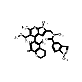 Cc1nc2c(cc(CN(C)C(=O)c3ccc4c(cnn4C)c3)n2C)c(-c2cc(F)c3c(c2C)CCCO3)c1[C@H](OC(C)(C)C)C(=O)O